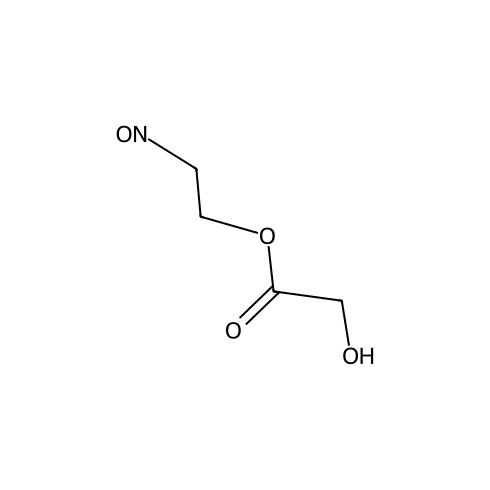 O=NCCOC(=O)CO